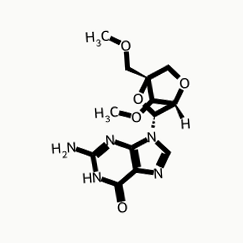 COC[C@@]12CO[C@@H](C1OC)[C@H](n1cnc3c(=O)[nH]c(N)nc31)O2